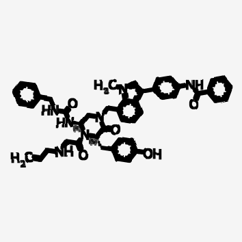 C=CCNCC(=O)N1[C@@H](NC(=O)NCc2ccccc2)CN(Cc2cccc3c(-c4ccc(NC(=O)c5ccccc5)cc4)cn(C)c23)C(=O)[C@@H]1Cc1ccc(O)cc1